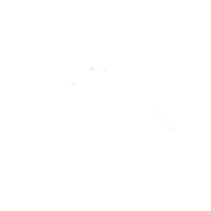 CN(C(=O)OC1CC(c2cc(NC(=O)C3CCCC3)[nH]n2)C1)c1ccccn1